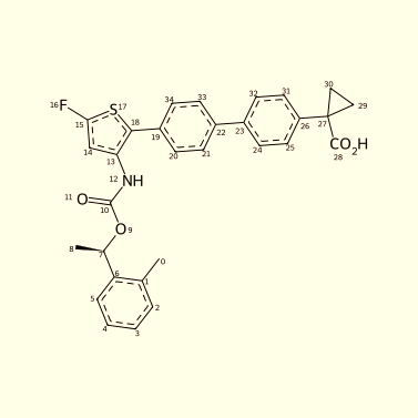 Cc1ccccc1[C@@H](C)OC(=O)Nc1cc(F)sc1-c1ccc(-c2ccc(C3(C(=O)O)CC3)cc2)cc1